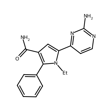 CCn1c(-c2ccnc(N)n2)cc(C(N)=O)c1-c1ccccc1